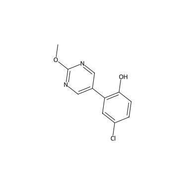 COc1ncc(-c2cc(Cl)ccc2O)cn1